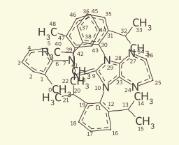 Cc1ccccc1N(N=c1n(-c2c(C(C)C)cccc2C(C)C)c2nccnc2n1-c1c(C(C)C)cccc1C(C)C)c1ccccc1C